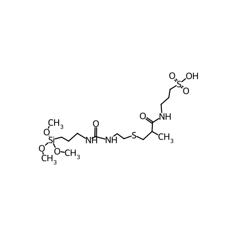 CO[Si](CCCNC(=O)NCCSCC(C)C(=O)NCCCS(=O)(=O)O)(OC)OC